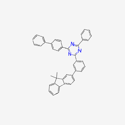 CC1(C)c2ccccc2-c2ccc(-c3cccc(-c4nc(-c5ccccc5)nc(-c5ccc(-c6ccccc6)cc5)n4)c3)cc21